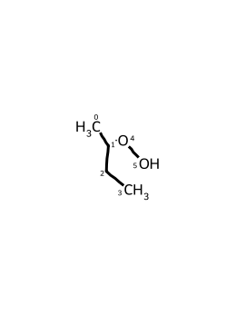 CCCC.[O]O